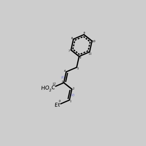 CC/C=C\C(=C/Cc1ccccc1)C(=O)O